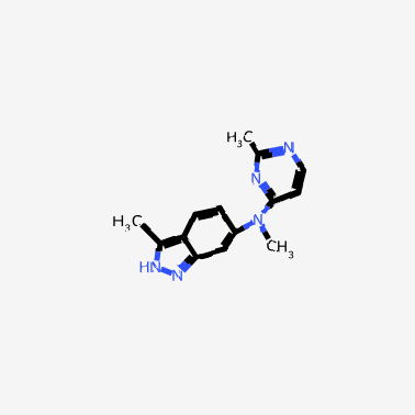 Cc1nccc(N(C)c2ccc3c(C)[nH]nc3c2)n1